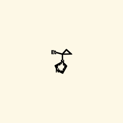 CCC1(n2ccnc2)CC1